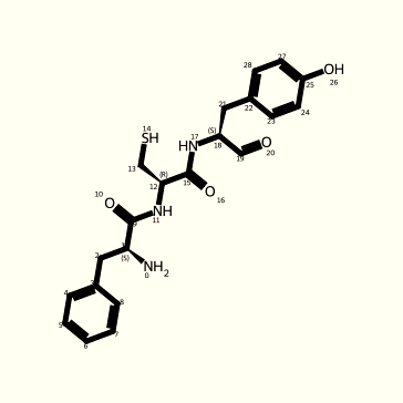 N[C@@H](Cc1ccccc1)C(=O)N[C@@H](CS)C(=O)N[C@H]([C]=O)Cc1ccc(O)cc1